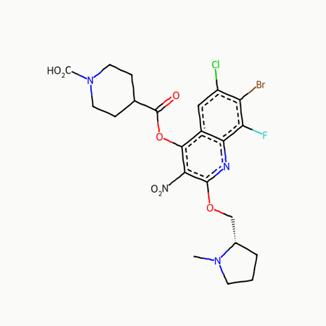 CN1CCC[C@H]1COc1nc2c(F)c(Br)c(Cl)cc2c(OC(=O)C2CCN(C(=O)O)CC2)c1[N+](=O)[O-]